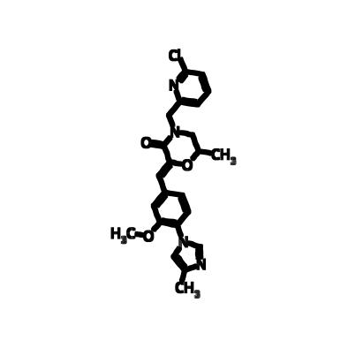 COc1cc(C=C2OC(C)CN(Cc3cccc(Cl)n3)C2=O)ccc1-n1cnc(C)c1